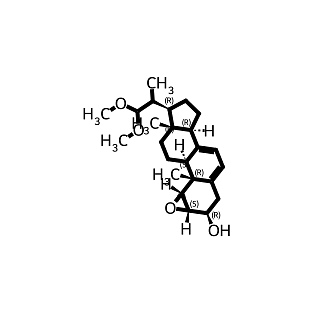 COC(OC)C(C)[C@H]1CC[C@H]2C3=CC=C4C[C@@H](O)[C@@H]5O[C@@H]5[C@]4(C)[C@H]3CC[C@]12C